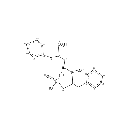 O=C(O)C(CNC(=O)C(Cc1ccccc1)CP(=O)(O)O)Cc1ccccc1